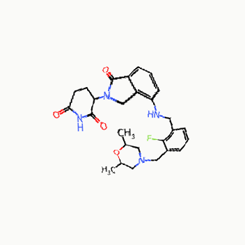 CC1CN(Cc2cccc(CNc3cccc4c3CN(C3CCC(=O)NC3=O)C4=O)c2F)CC(C)O1